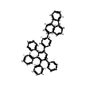 c1ccc(-c2cc(-c3ccc(-c4ccc5c6c(cccc46)-c4ccccc4-5)cc3)c(-c3ccccc3)c(-c3ccccc3)c2-c2ccccc2)cc1